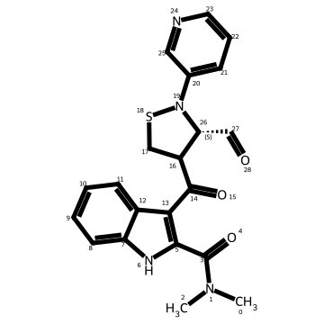 CN(C)C(=O)c1[nH]c2ccccc2c1C(=O)C1CSN(c2cccnc2)[C@@H]1C=O